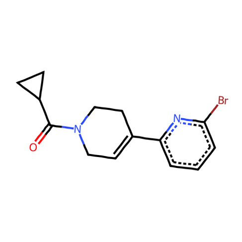 O=C(C1CC1)N1CC=C(c2cccc(Br)n2)CC1